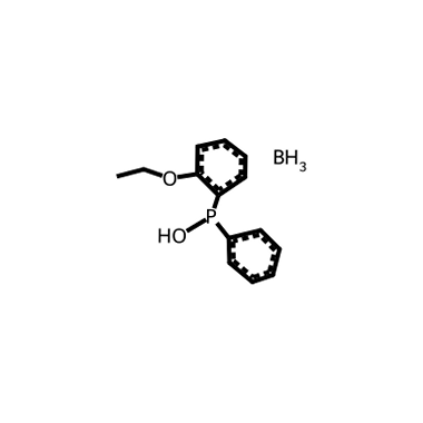 B.CCOc1ccccc1P(O)c1ccccc1